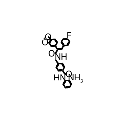 Nc1ccccc1NC(=O)c1ccc(CNC(=O)/C(=C/c2ccc(F)cc2)c2ccc3c(c2)OCO3)cc1